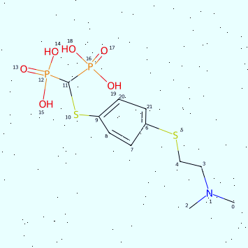 CN(C)CCSc1ccc(SC(P(=O)(O)O)P(=O)(O)O)cc1